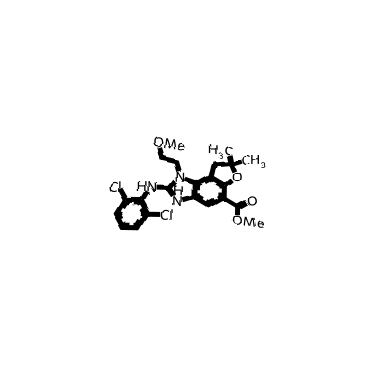 COCCN1c2c(cc(C(=O)OC)c3c2CC(C)(C)O3)NC1Nc1c(Cl)cccc1Cl